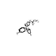 O=C(ON1CC[C@](c2ccc(I)cc2)(S(=O)(=O)c2ccc(F)cc2)C1)C(F)(F)F